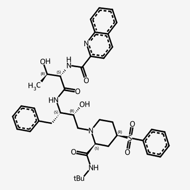 C[C@@H](O)[C@H](NC(=O)c1ccc2ccccc2n1)C(=O)N[C@@H](Cc1ccccc1)[C@H](O)CN1CC[C@@H](S(=O)(=O)c2ccccc2)C[C@H]1C(=O)NC(C)(C)C